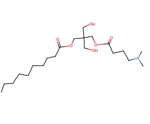 CCCCCCCCCC(=O)OCC(CO)(CO)COC(=O)CCCN(C)C